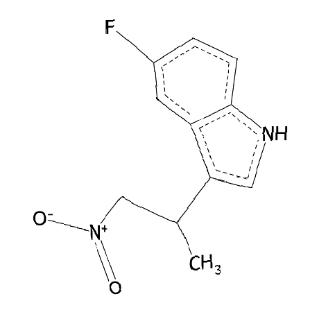 CC(C[N+](=O)[O-])c1c[nH]c2ccc(F)cc12